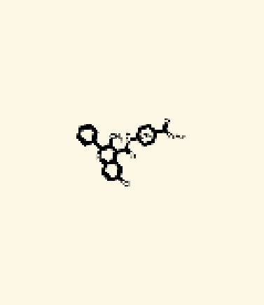 COC(=O)C12CCC(NC(=O)c3c(C)c(-c4ccccc4)nc4ccc(Cl)cc34)(CC1)CC2